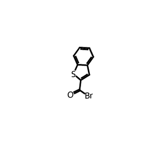 O=C(Br)c1cc2ccccc2s1